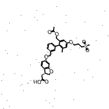 CC(=O)OCc1cc(OCCCS(C)(=O)=O)cc(C)c1-c1cccc(COc2ccc3c(c2)OC[C@H]3CC(=O)O)c1